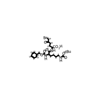 CC(C)(C)OC(=O)NCCCCC(NC(=O)OCc1ccccc1)C(=O)NC(CCC(=O)CBr)C(=O)O